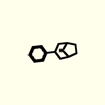 [c]1ccc(C2CC3CCC(C2)N3)cc1